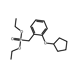 CCOP(=O)(Cc1ccccc1OC1CCCC1)OCC